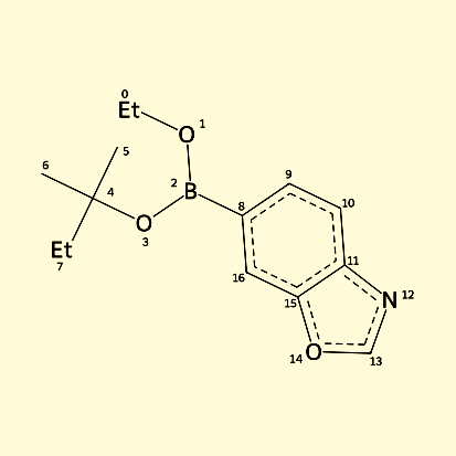 CCOB(OC(C)(C)CC)c1ccc2ncoc2c1